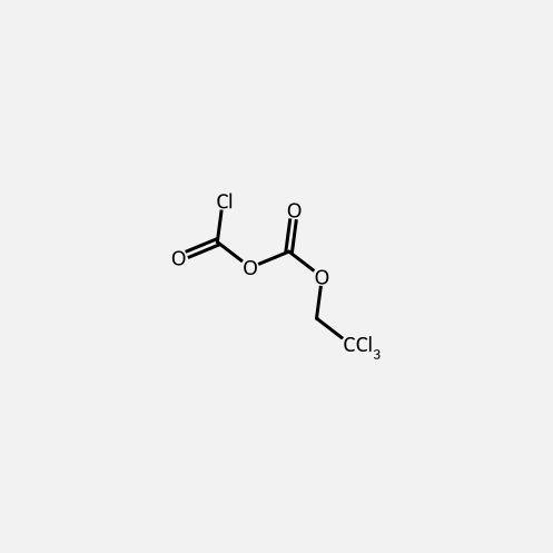 O=C(Cl)OC(=O)OCC(Cl)(Cl)Cl